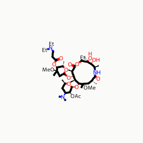 CC[C@H]1OC(=O)[C@H](C)[C@@H](OC2C[C@@](C)(OC)[C@@H](OC(=O)CCN(CC)CC)[C@H](C)O2)[C@H](C)[C@@H](O[C@@H]2O[C@H](C)C[C@H](N(C)C)[C@H]2OC(C)=O)[C@](C)(OC)C[C@@H](C)C(=O)N[C@H](C)[C@@H](O)[C@]1(C)O